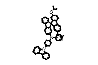 CC(C)Oc1ccc2c(c1)C1(c3ccccc3-c3ccc(N(c4ccccc4)c4ccc(-n5c6ccccc6c6ccccc65)cc4)cc31)c1cc(OC(C)C)ccc1-2